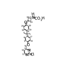 CC(C)(c1ccc(OCc2ccnc(Cl)n2)cc1)c1ccc(O[C@H]2C[C@@H](NC(=O)O)C2)cc1